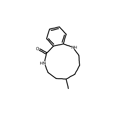 CC1CCCNc2ccccc2C(=O)NCC1